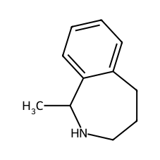 CC1NCCCc2ccccc21